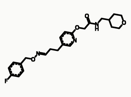 O=C(COc1ccc(CCC=NOCc2ccc(F)cc2)cn1)NCC1CCOCC1